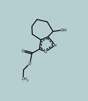 CCOC(=O)c1onc2c1CCCCC2O